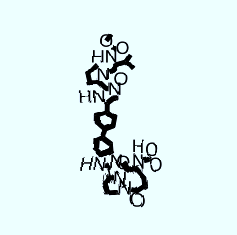 COC(=O)NC(C(=O)N1CCCC1c1ncc(-c2ccc(-c3ccc4[nH]c([C@@H]5CCCN6C(=O)CC[C@H](NC(=O)OC)C(=O)N56)nc4c3)cc2)[nH]1)C(C)C